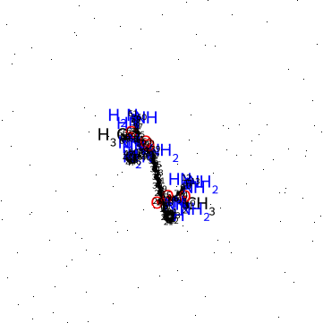 C[C@H](N)C(=O)N[C@@H](CCCNC(=N)N)C(=O)N[C@@H](Cc1ccccc1)C(=O)CCCCCCCCCCCC(N)(N)C(=O)[C@H](Cc1ccccc1)NC(=O)[C@H](CCCNC(=N)N)NC(=O)[C@H](C)N